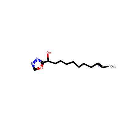 CCCCCCCC/C=C/CCCCCCCC(O)c1nnco1